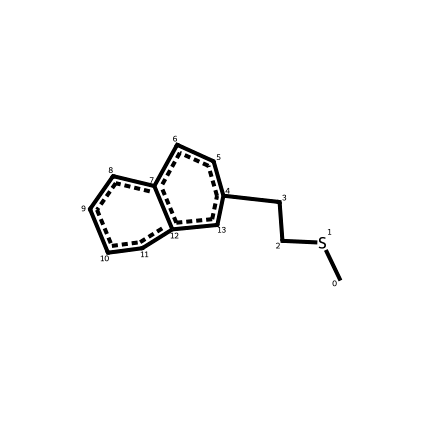 CSCCc1ccc2ccccc2c1